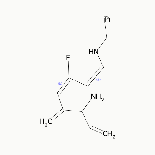 C=CC(N)C(=C)/C=C(F)\C=C/NCC(C)C